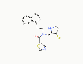 O=C(c1cncs1)N(CCc1cccc2ccccc12)C[C@H]1NCC[C@H]1S